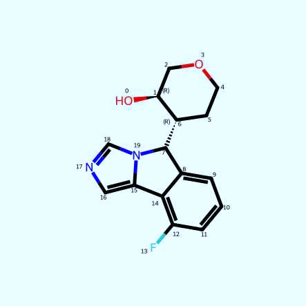 O[C@H]1COCC[C@@H]1C1c2cccc(F)c2-c2cncn21